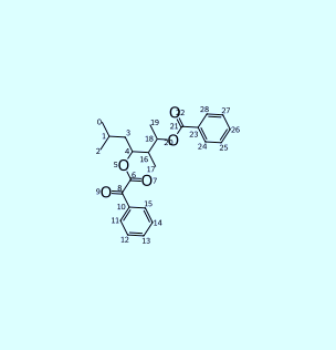 CC(C)CC(OC(=O)C(=O)c1ccccc1)C(C)C(C)OC(=O)c1ccccc1